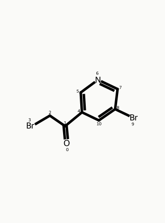 O=C(CBr)c1cncc(Br)c1